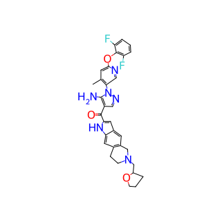 Cc1cc(Oc2c(F)cccc2F)ncc1-n1ncc(C(=O)c2cc3cc4c(cc3[nH]2)CCN(CC2CCCO2)C4)c1N